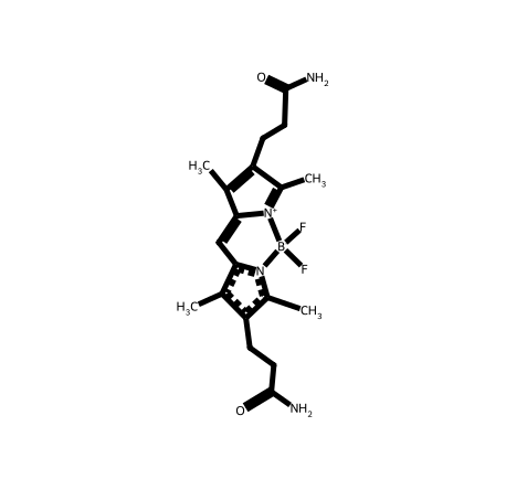 CC1=C(CCC(N)=O)C(C)=[N+]2C1=Cc1c(C)c(CCC(N)=O)c(C)n1[B-]2(F)F